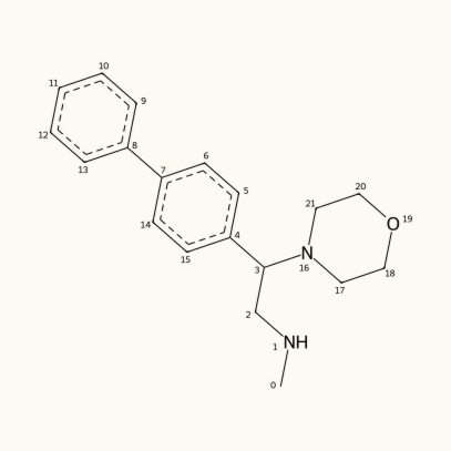 CNCC(c1ccc(-c2ccccc2)cc1)N1CCOCC1